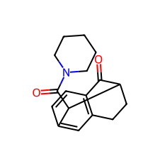 O=C1c2ccc3cc2CCC1C3C(=O)N1CCCCC1